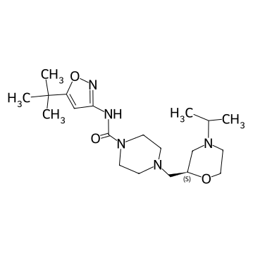 CC(C)N1CCO[C@@H](CN2CCN(C(=O)Nc3cc(C(C)(C)C)on3)CC2)C1